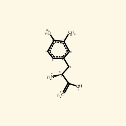 C=C(O)[C@@H](N)Cc1ccc(O)c(C)c1